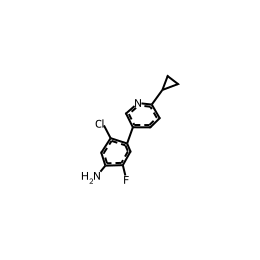 Nc1cc(Cl)c(-c2ccc(C3CC3)nc2)cc1F